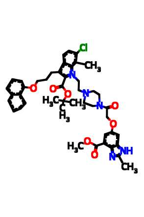 COC(=O)c1cc(OCC(=O)N2CCN(CCn3c(C(=O)OC(C)(C)C)c(CCCOc4cccc5ccccc45)c4ccc(Cl)c(C)c43)CC2)cc2[nH]c(C)nc12